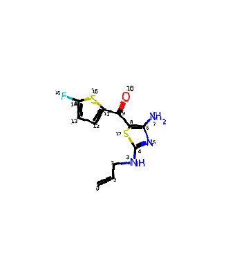 C=CCNc1nc(N)c(C(=O)c2ccc(F)s2)s1